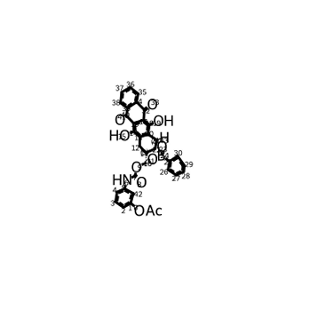 CC(=O)Oc1cccc(NC(=O)OC[C@]23Cc4c(O)c5c(c(O)c4[C@H](C2)OB(c2ccccc2)O3)C(=O)c2ccccc2C5=O)c1